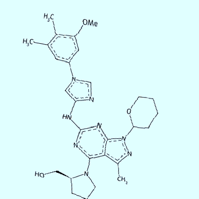 COc1cc(-n2cnc(Nc3nc(N4CCC[C@H]4CO)c4c(C)nn(C5CCCCO5)c4n3)c2)cc(C)c1C